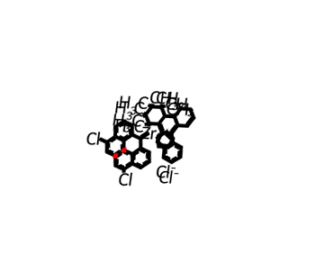 CC12C(=C3Cc4ccccc4C3=C3C=CCCC31)[C](C)([Zr+2](=[C](c1cccc3c(Cl)cccc13)c1cccc3c(Cl)cccc13)[CH]1C=CC=C1)C(C)(C)C(C)(C)C2(C)C.[Cl-].[Cl-]